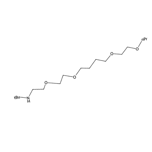 CCCOCCOCCCCOCCOCCNC(C)(C)C